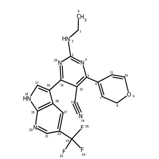 CCNc1nc(C2=CCOC=C2)c(C#N)c(-c2c[nH]c3ncc(C(F)(F)F)cc23)n1